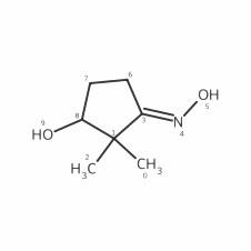 CC1(C)/C(=N/O)CCC1O